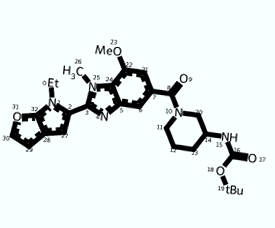 CCn1c(-c2nc3cc(C(=O)N4CCCC(NC(=O)OC(C)(C)C)C4)cc(OC)c3n2C)cc2ccoc21